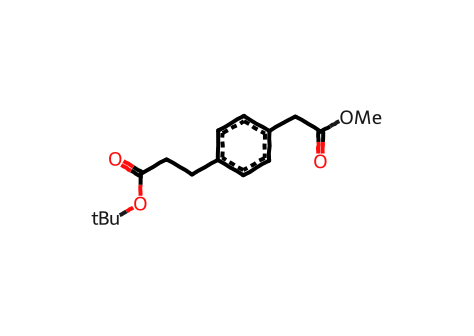 COC(=O)Cc1ccc(CCC(=O)OC(C)(C)C)cc1